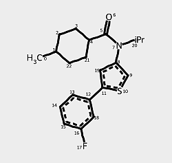 CC1CCC(C(=O)N(c2csc(-c3cccc(F)c3)c2)C(C)C)CC1